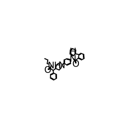 CCCNC(=O)C(c1ccccc1)C1CCN(c2ccc(NC(=O)c3ccccc3-c3ccccc3)cc2)CC1